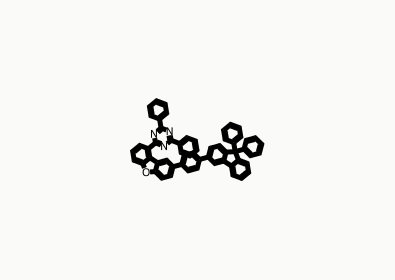 c1ccc(-c2nc(-c3ccccc3)nc(-c3cccc4oc5ccc(-c6ccc(-c7ccc8c(c7)-c7ccccc7C8(c7ccccc7)c7ccccc7)cc6)cc5c34)n2)cc1